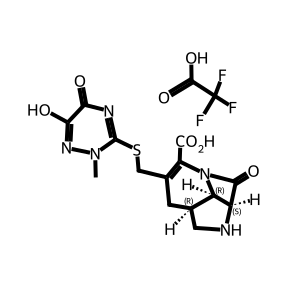 Cn1nc(O)c(=O)nc1SCC1=C(C(=O)O)N2C(=O)[C@H]3NC[C@@H](C1)[C@H]32.O=C(O)C(F)(F)F